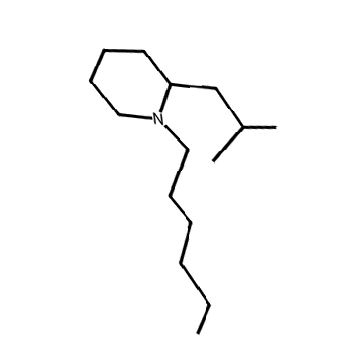 CCCCCCN1CCCCC1CC(C)C